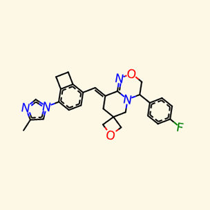 Cc1cn(-c2ccc(/C=C3\CC4(COC4)CN4C3=NOCC4c3ccc(F)cc3)c3c2CC3)cn1